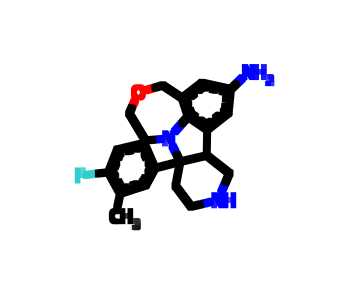 Cc1cc(C23CCNCC2c2cc(N)cc4c2N3CCOC4)ccc1F